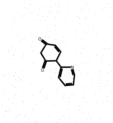 O=C1C=CC(c2ccccn2)C(=O)C1